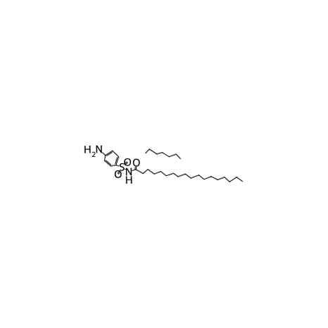 CCCCCCC.CCCCCCCCCCCCCCCCCC(=O)NS(=O)(=O)c1ccc(N)cc1